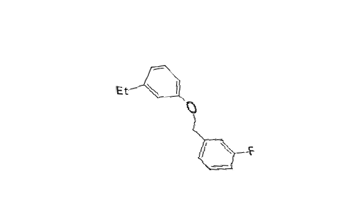 CCc1cccc(OCc2cccc(F)c2)c1